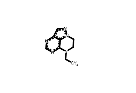 CCN1CCn2ncc3ncnc1c32